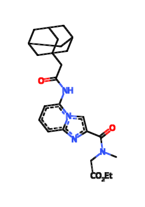 CCOC(=O)CN(C)C(=O)c1cn2c(NC(=O)CC34CC5CC(CC(C5)C3)C4)cccc2n1